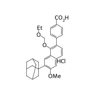 CCOCOc1c(-c2ccc(C(=O)O)cc2)ccc2cc(OC)c(C34CC5CC(CC(C5)C3)C4)cc12.Cl